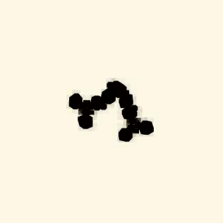 Cc1cc(-c2nc(-c3ccccc3)nc(-c3ccccc3)n2)ccc1-c1ccc(C2(C)CC3CC(C)CC(c4ccc(-c5ccc(-c6nc(-c7ccccc7)nc(-c7ccccc7)n6)cc5C)cc4)(C3)C2)cc1